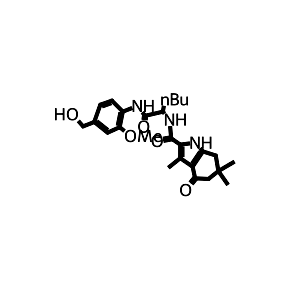 CCCCC(NC(=O)c1[nH]c2c(c1C)C(=O)CC(C)(C)C2)C(=O)Nc1ccc(CO)cc1OC